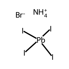 [Br-].[I][Pb]([I])([I])[I].[NH4+]